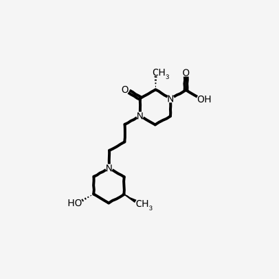 C[C@H]1C[C@H](O)CN(CCCN2CCN(C(=O)O)[C@@H](C)C2=O)C1